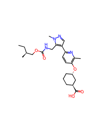 CC[C@H](C)COC(=O)NCc1c(-c2ccc(O[C@H]3CCC[C@H](C(=O)O)C3)c(C)n2)cnn1C